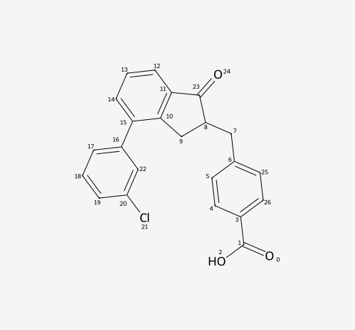 O=C(O)c1ccc(CC2Cc3c(cccc3-c3cccc(Cl)c3)C2=O)cc1